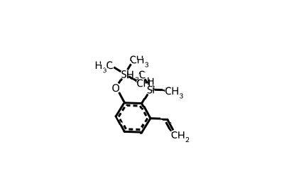 C=Cc1cccc(O[Si](C)(C)C)c1[SiH](C)C